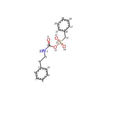 O=C(NCCc1ccccc1)OS(=O)(=O)Cc1ccccc1